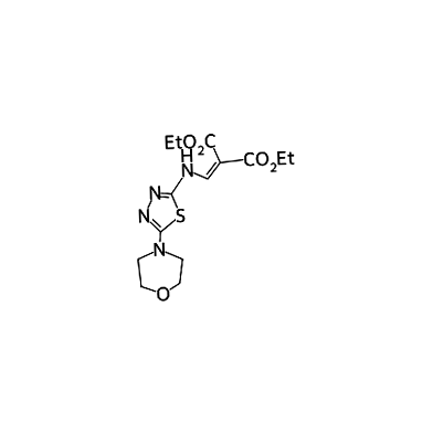 CCOC(=O)C(=CNc1nnc(N2CCOCC2)s1)C(=O)OCC